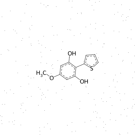 COc1cc(O)c(-c2cccs2)c(O)c1